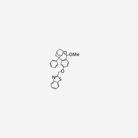 COC(=O)c1ccc(OCc2nc3ccccc3s2)cc1C1(c2ccccc2)CC2CCC1C2